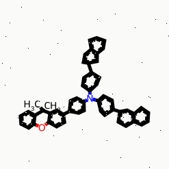 CC1(C)c2ccccc2Oc2ccc(-c3ccc(N(c4ccc(-c5ccc6ccccc6c5)cc4)c4ccc(-c5ccc6ccccc6c5)cc4)cc3)cc21